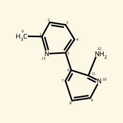 Cc1cccc(-c2cccnc2N)n1